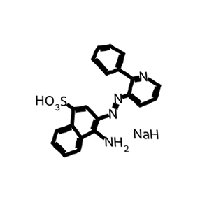 Nc1c(/N=N/c2cccnc2-c2ccccc2)cc(S(=O)(=O)O)c2ccccc12.[NaH]